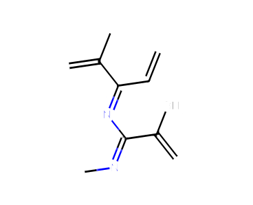 BC(=C)C(=N/C)/N=C(\C=C)C(=C)C